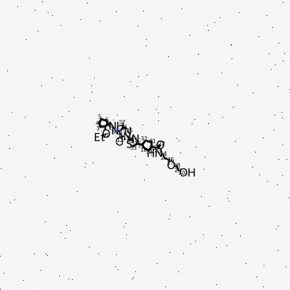 CCOc1ccccc1N/N=C1/C(=O)N(c2nc(-c3ccc(C(=O)NCCCOCCO)cc3)cs2)N=C1C